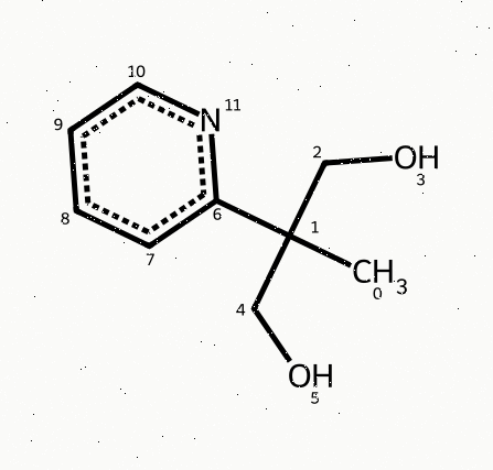 CC(CO)(CO)c1ccccn1